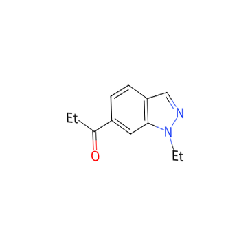 CCC(=O)c1ccc2cnn(CC)c2c1